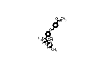 COC(=O)c1ccc(COc2ccc(C(C)C(O)(c3cnc(C)cn3)C(F)(F)F)c(Cl)c2)cc1